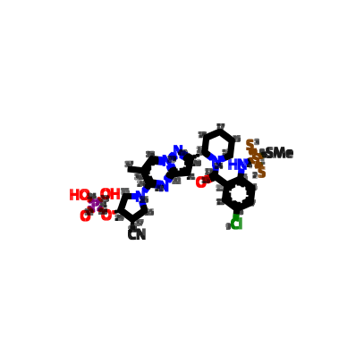 CSS(=S)(=S)Nc1ccc(Cl)cc1C(=O)N1CCCC[C@H]1c1cc2nc(N3C[C@@H](C#N)[C@H](OP(=O)(O)O)C3)c(C)cn2n1